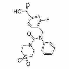 O=C(O)c1ccc(CN(C(=O)N2CCS(=O)(=O)CC2)c2ccccc2)c(F)c1